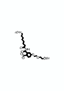 CCCCCCCCCCCCCCCCCC(=O)NC(=O)c1cc(OCCOCCOC)ccc1I(=O)=O